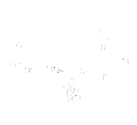 COc1ccc2ncc(F)c(CCN3CC[C@H](NCc4cnc5c(c4)OCCO5)[C@H](O)C3)c2n1.Cl.Cl